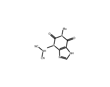 CCC(C)n1c(=O)c2[nH]cnc2n(C)c1=O.N#CNC#N